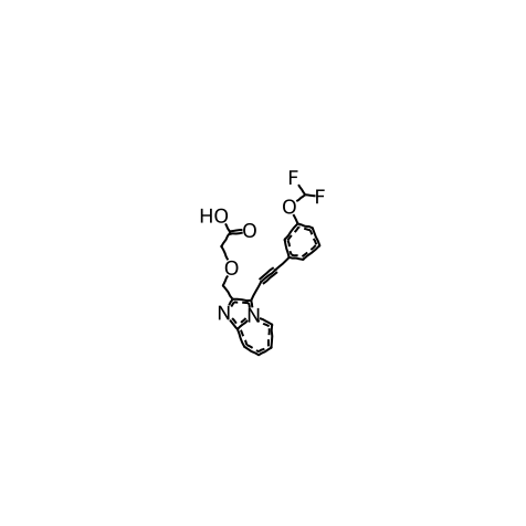 O=C(O)COCc1nc2ccccn2c1C#Cc1cccc(OC(F)F)c1